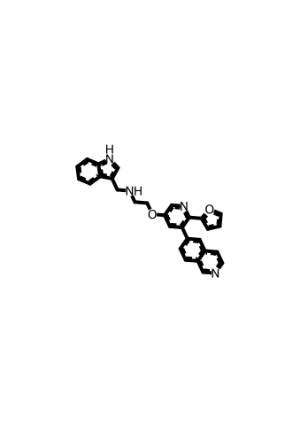 c1coc(-c2ncc(OCCNCc3c[nH]c4ccccc34)cc2-c2ccc3cnccc3c2)c1